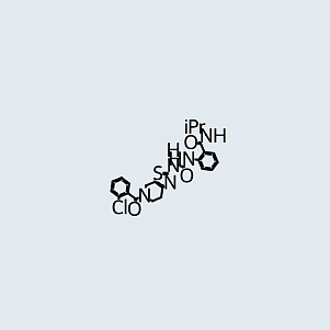 CC(C)NC(=O)c1ccccc1NC(=O)Nc1nc2c(s1)CN(C(=O)c1ccccc1Cl)CC2